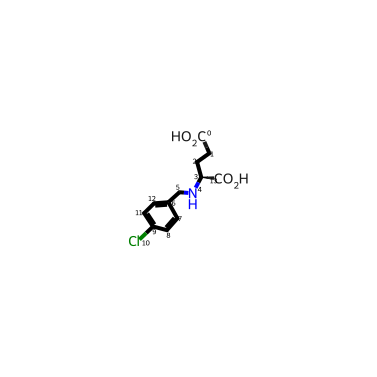 O=C(O)CC[C@H](NCc1ccc(Cl)cc1)C(=O)O